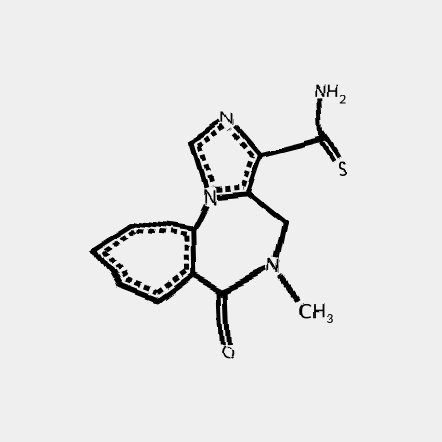 CN1Cc2c(C(N)=S)ncn2-c2ccccc2C1=O